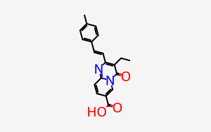 CCc1c(C=Cc2ccc(C)cc2)nc2ccc(C(=O)O)cn2c1=O